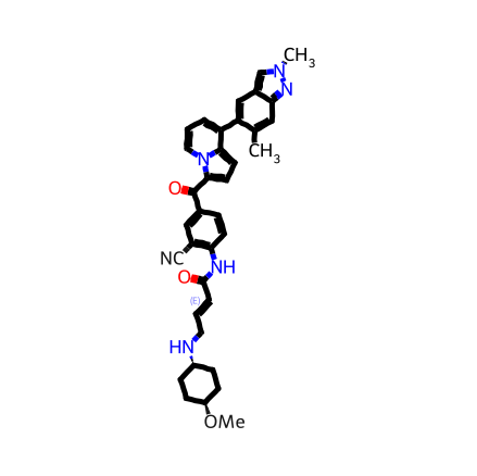 CO[C@H]1CC[C@H](NC/C=C/C(=O)Nc2ccc(C(=O)c3ccc4c(-c5cc6cn(C)nc6cc5C)cccn34)cc2C#N)CC1